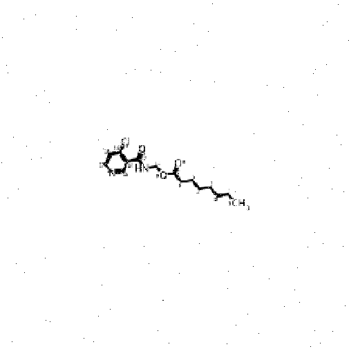 CCCCCCCC(=O)OCNC(=O)c1cnccc1Cl